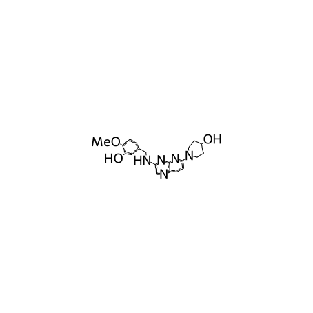 COc1ccc(CNc2cnc3ccc(N4CCC(O)CC4)nc3n2)cc1O